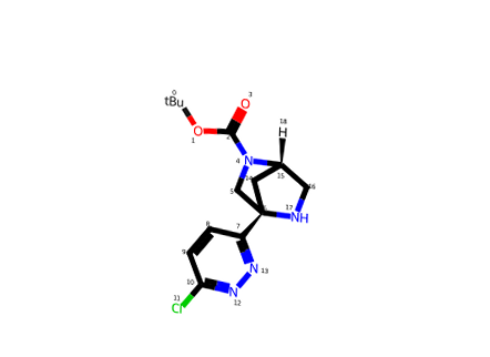 CC(C)(C)OC(=O)N1C[C@]2(c3ccc(Cl)nn3)C[C@H]1CN2